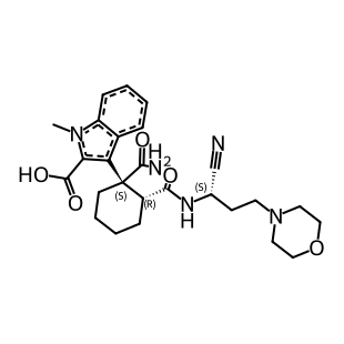 Cn1c(C(=O)O)c([C@]2(C(N)=O)CCCC[C@H]2C(=O)N[C@H](C#N)CCN2CCOCC2)c2ccccc21